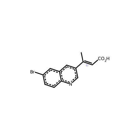 C/C(=C\C(=O)O)c1cnc2ccc(Br)cc2c1